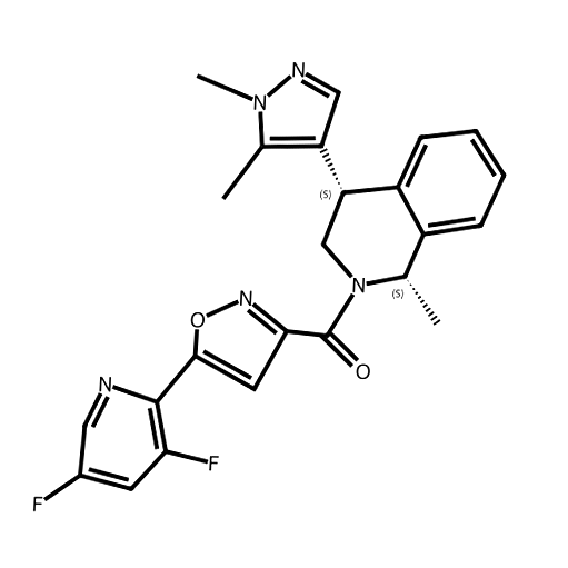 Cc1c([C@H]2CN(C(=O)c3cc(-c4ncc(F)cc4F)on3)[C@@H](C)c3ccccc32)cnn1C